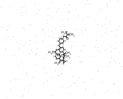 CC(CC1CN(C(C)(C)C)CCC1CN1CCN(CC(=O)N(C)C)CC1)N1CCC(N(C)C2(C#N)CC2)CC1